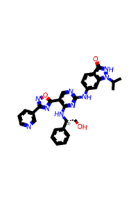 CC(C)n1[nH]c(=O)c2ccc(Nc3ncc(-c4nc(-c5cccnc5)no4)c(N[C@H](CO)c4ccccc4)n3)cc21